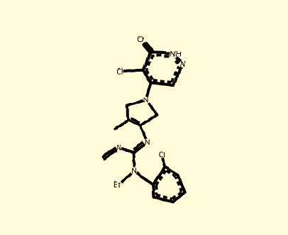 C=N/C(=N\C1=C(C)CN(c2cn[nH]c(=O)c2Cl)C1)N(CC)c1ccccc1Cl